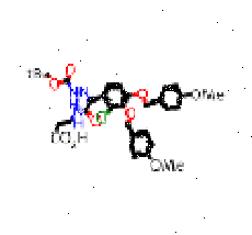 COc1ccc(COc2ccc(/C(=N/NC(=O)OC(C)(C)C)C(=O)NCCC(=O)O)c(Cl)c2OCc2ccc(OC)cc2)cc1